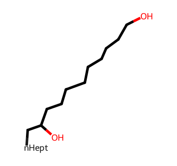 CCCCCCCCC(O)CCCCCCCCCO